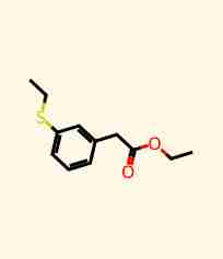 CCOC(=O)Cc1cccc(SCC)c1